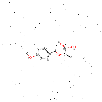 COc1ccc(CO[C@H](C)C(=O)O)cc1